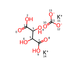 O=C(O)C(O)C(O)C(=O)O.O=C([O-])[O-].[K+].[K+]